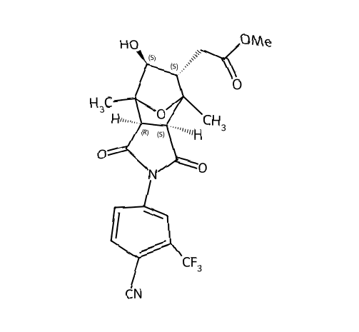 COC(=O)C[C@H]1[C@H](O)C2(C)OC1(C)[C@H]1C(=O)N(c3ccc(C#N)c(C(F)(F)F)c3)C(=O)[C@H]12